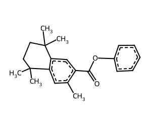 Cc1cc2c(cc1C(=O)Oc1ccccc1)C(C)(C)CCC2(C)C